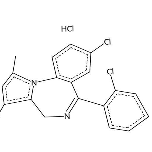 Cc1cc(C)n2c1CN=C(c1ccccc1Cl)c1cc(Cl)ccc1-2.Cl